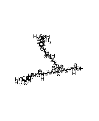 CC(C)(O)C(=O)c1ccc(OCCOC(=O)NCCCCCCn2c(=O)n(CCCCCCNC(=O)O)c(=O)n(CCCCCCNC(=O)OCCOc3ccc(C(=O)C(C)(C)O)cc3)c2=O)cc1